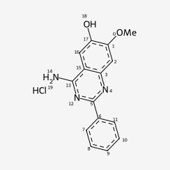 COc1cc2nc(-c3ccccc3)nc(N)c2cc1O.Cl